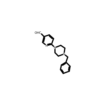 O=Cc1ccc(N2CCN(Cc3ccccc3)CC2)nc1